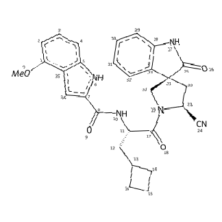 COc1cccc2[nH]c(C(=O)N[C@@H](CC3CCC3)C(=O)N3C[C@]4(C[C@H]3C#N)C(=O)Nc3ccccc34)cc12